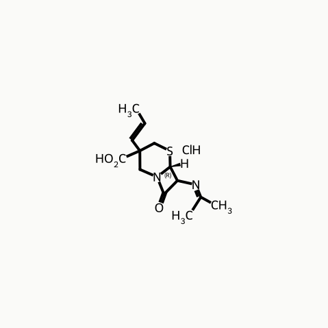 CC=CC1(C(=O)O)CS[C@@H]2C(N=C(C)C)C(=O)N2C1.Cl